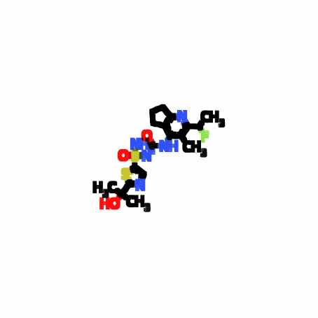 Cc1c(C(C)F)nc2c(c1NC(=O)N=S(N)(=O)c1cnc(C(C)(C)O)s1)CCC2